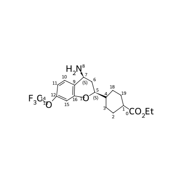 CCOC(=O)C1CCC([C@@H]2C[C@H](N)c3ccc(OC(F)(F)F)cc3O2)CC1